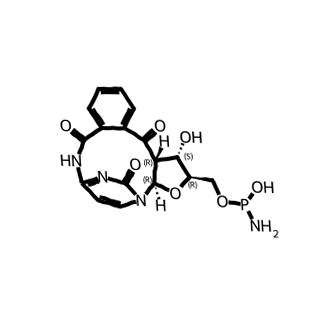 NP(O)OC[C@H]1O[C@@H]2[C@H](C(=O)c3ccccc3C(=O)Nc3ccn2c(=O)n3)[C@@H]1O